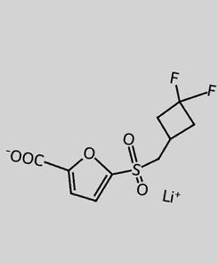 O=C([O-])c1ccc(S(=O)(=O)CC2CC(F)(F)C2)o1.[Li+]